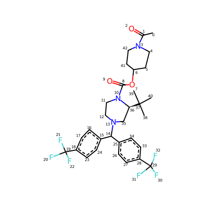 CC(=O)N1CCC(OC(=O)N2CCN(C(c3ccc(C(F)(F)F)cc3)c3ccc(C(F)(F)F)cc3)C[C@@H]2C(C)(C)C)CC1